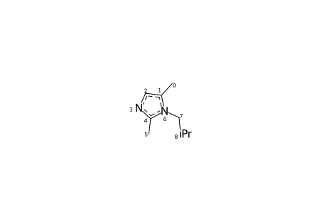 Cc1cnc(C)n1CC(C)C